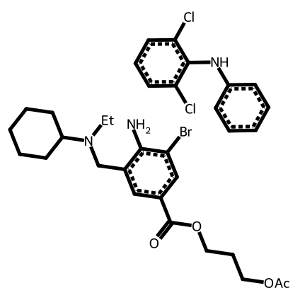 CCN(Cc1cc(C(=O)OCCCOC(C)=O)cc(Br)c1N)C1CCCCC1.Clc1cccc(Cl)c1Nc1ccccc1